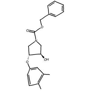 Cc1ccc(O[C@@H]2CN(C(=O)OCc3ccccc3)C[C@H]2O)cc1C